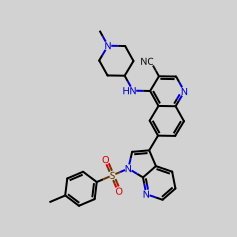 Cc1ccc(S(=O)(=O)n2cc(-c3ccc4ncc(C#N)c(NC5CCN(C)CC5)c4c3)c3cccnc32)cc1